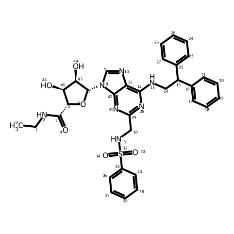 CCNC(=O)[C@H]1O[C@@H](n2cnc3c(NCC(c4ccccc4)c4ccccc4)nc(CNS(=O)(=O)c4ccccc4)nc32)[C@H](O)[C@@H]1O